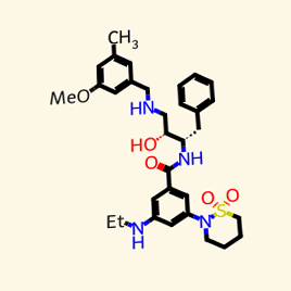 CCNc1cc(C(=O)N[C@@H](Cc2ccccc2)[C@H](O)CNCc2cc(C)cc(OC)c2)cc(N2CCCCS2(=O)=O)c1